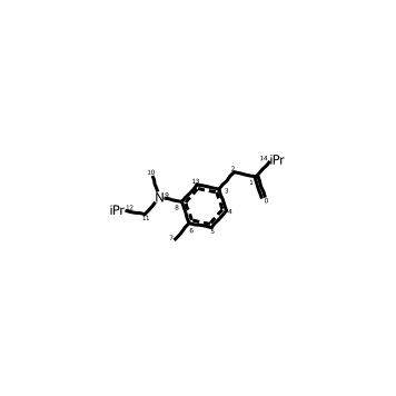 C=C(Cc1ccc(C)c(N(C)CC(C)C)c1)C(C)C